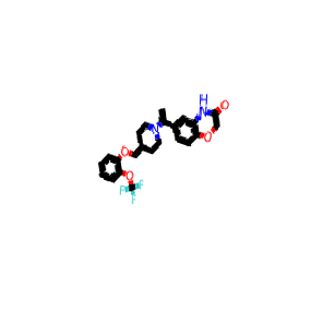 C=C(c1ccc2c(c1)NC(=O)CO2)N1CCC(COc2ccccc2OC(F)(F)F)CC1